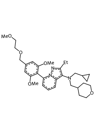 CCc1nn2c(-c3c(OC)cc(COCCOC)cc3OC)cccc2c1N(CC1CCOCC1)CC1CC1